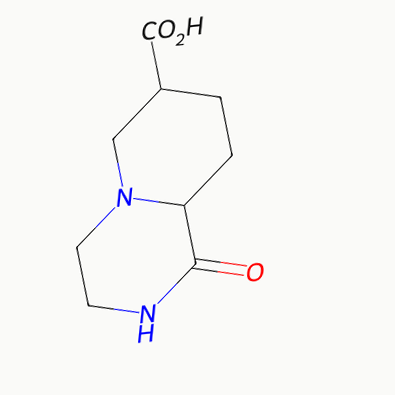 O=C(O)C1CCC2C(=O)NCCN2C1